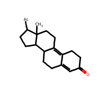 CC(=O)C1CCC2C3CCC4=CC(=O)CCC4=C3CCC12C